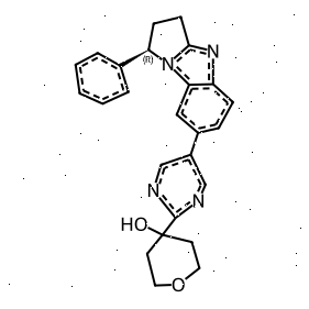 OC1(c2ncc(-c3ccc4nc5n(c4c3)[C@@H](c3ccccc3)CC5)cn2)CCOCC1